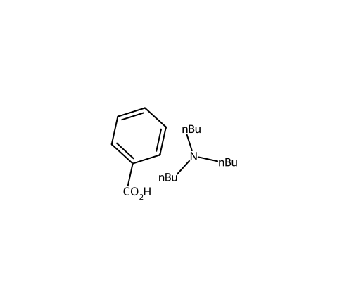 CCCCN(CCCC)CCCC.O=C(O)c1ccccc1